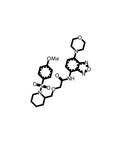 COc1ccc(S(=O)(=O)N2CCCCC2COCC(=O)Nc2ccc(N3CCOCC3)c3nonc23)cc1